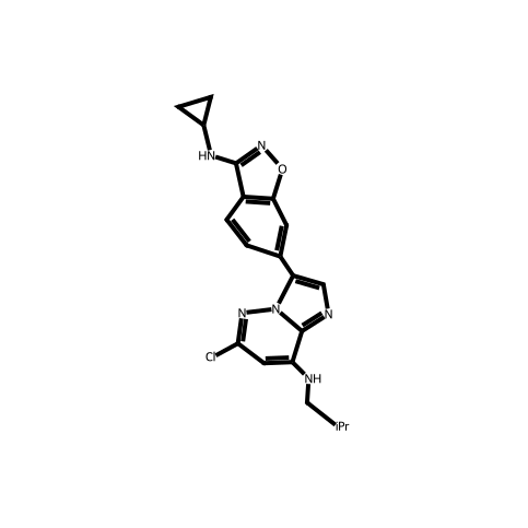 CC(C)CNc1cc(Cl)nn2c(-c3ccc4c(NC5CC5)noc4c3)cnc12